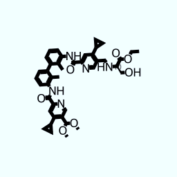 CCOC(=O)[C@@H](CO)NCc1cnc(C(=O)Nc2cccc(-c3cccc(NC(=O)c4cc(C5CC5)c(C(OC)OC)cn4)c3C)c2C)cc1C1CC1